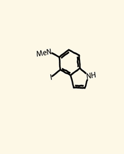 CNc1ccc2[nH]ccc2c1I